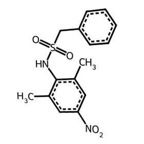 Cc1cc([N+](=O)[O-])cc(C)c1NS(=O)(=O)Cc1ccccc1